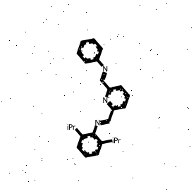 CC(C)c1cccc(C(C)C)c1/N=C/c1cccc(/C=N/c2ccccc2)n1